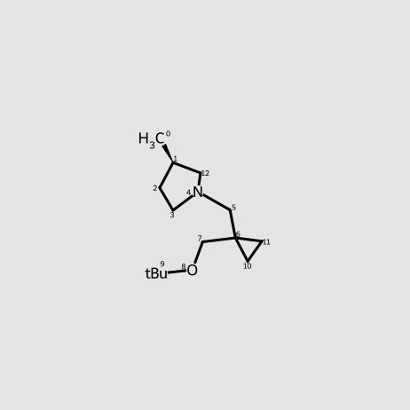 C[C@@H]1CCN(CC2(COC(C)(C)C)CC2)C1